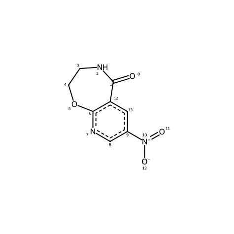 O=C1NCCOc2ncc([N+](=O)[O-])cc21